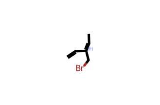 C=C/C(=C\C)CBr